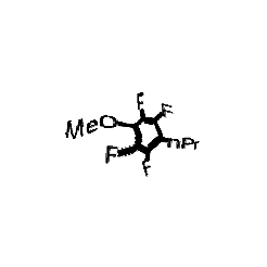 CCCc1c(F)c(F)c(OC)c(F)c1F